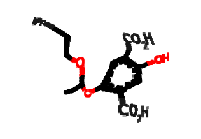 CC(C)CCOC(C)Oc1cc(C(=O)O)c(O)cc1C(=O)O